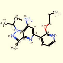 CCCOc1ncccc1-c1cc(N)c2c(n1)c(C)nn2C(C)C